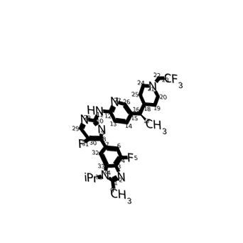 Cc1nc2c(F)cc(-c3nc(Nc4ccc([C@H](C)C5CCN(CC(F)(F)F)CC5)cn4)ncc3F)cc2n1C(C)C